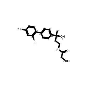 CC(C)(C)CC(=O)OCCC(C)(O)c1ccc(-c2ccc(F)cc2F)cc1